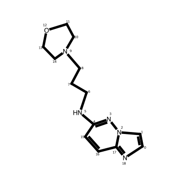 c1cn2nc(NCCCN3CCOCC3)ccc2n1